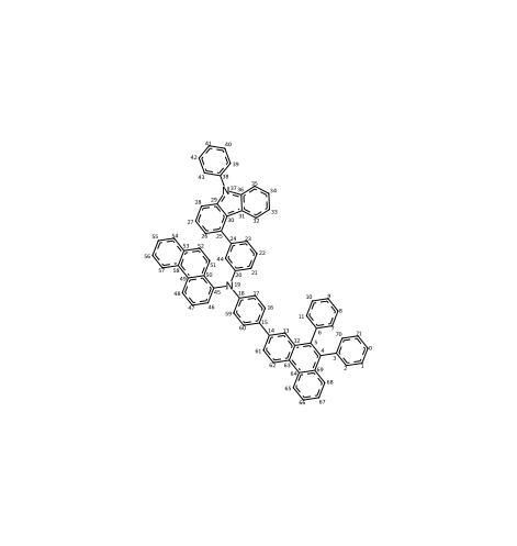 c1ccc(-c2c(-c3ccccc3)c3cc(-c4ccc(N(c5cccc(-c6cccc7c6c6ccccc6n7-c6ccccc6)c5)c5cccc6c5ccc5ccccc56)cc4)ccc3c3ccccc23)cc1